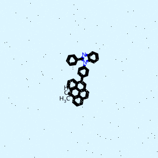 CC1(C)c2cccc3ccc4cc(-c5ccc(-n6c(-c7ccccc7)nc7ccccc76)cc5)c5cccc1c5c4c23